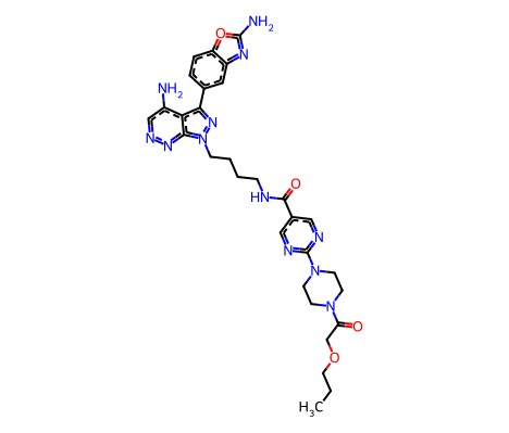 CCCOCC(=O)N1CCN(c2ncc(C(=O)NCCCCn3nc(-c4ccc5oc(N)nc5c4)c4c(N)cnnc43)cn2)CC1